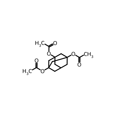 CC(=O)OC12CC3CC(OC(C)=O)(C1)CC(OC(C)=O)(C3)C2